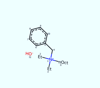 CCCCCCCC[N+](CC)(CC)Cc1ccccc1.[OH-]